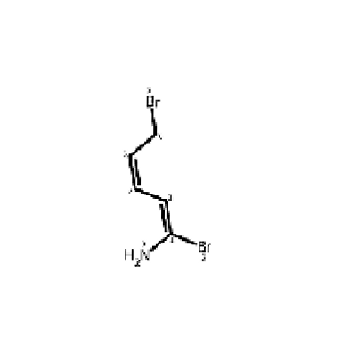 N/C(Br)=C\C=C/CBr